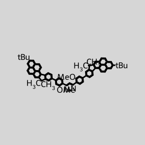 COc1cc(-c2ccc3c(c2)C(C)(C)c2cc4ccc5cc(C(C)(C)C)cc6ccc(c2-3)c4c56)ccc1-c1cc(-c2ccc(-c3ccc4c(c3)C(C)(C)c3cc5ccc6cc(C(C)(C)C)cc7ccc(c3-4)c5c67)cc2OC)ncn1